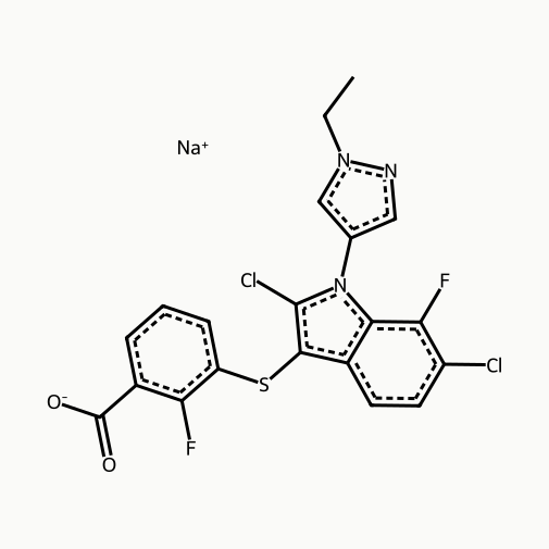 CCn1cc(-n2c(Cl)c(Sc3cccc(C(=O)[O-])c3F)c3ccc(Cl)c(F)c32)cn1.[Na+]